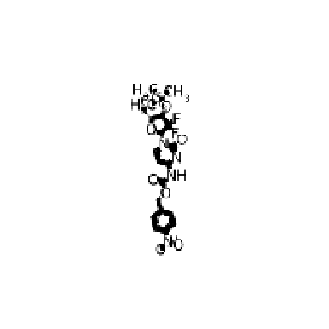 CC[C@H]1O[C@@H](n2ccc(NC(=O)OCc3ccc([N+](=O)[O-])cc3)nc2=O)C(F)(F)C1O[Si](C)(C)C